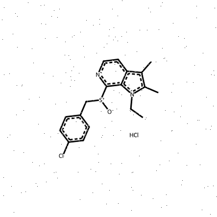 CCn1c(C)c(C)c2ccnc([S+]([O-])Cc3ccc(Cl)cc3)c21.Cl